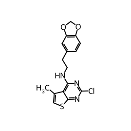 Cc1csc2nc(Cl)nc(NCCc3ccc4c(c3)OCO4)c12